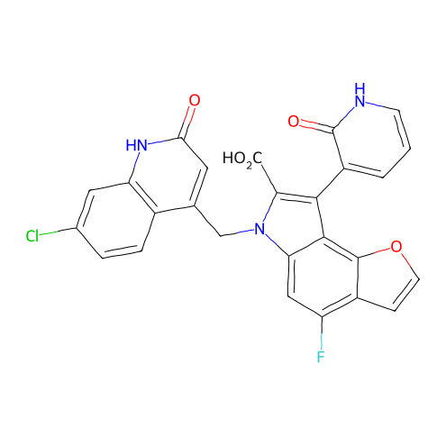 O=C(O)c1c(-c2ccc[nH]c2=O)c2c3occc3c(F)cc2n1Cc1cc(=O)[nH]c2cc(Cl)ccc12